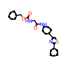 O=C(CNC(=O)OCc1ccccc1)Nc1ccc(-c2csc(-c3ccccc3)n2)cc1